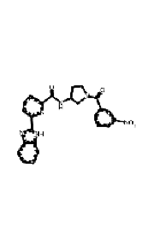 O=C(NC1CCN(C(=O)c2cccc([N+](=O)[O-])c2)C1)c1cccc(-c2nc3ccccc3[nH]2)n1